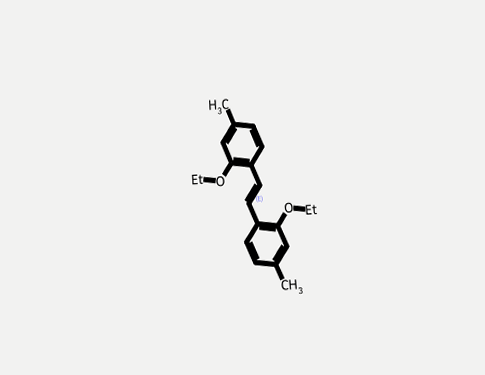 CCOc1cc(C)ccc1/C=C/c1ccc(C)cc1OCC